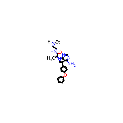 CCN(CC)CCNC(=O)C(C)n1cc(-c2ccc(Oc3ccccc3)cc2)c2c(N)ncnc21